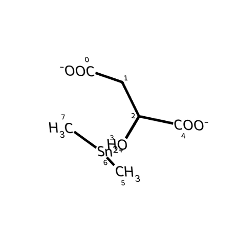 O=C([O-])CC(O)C(=O)[O-].[CH3][Sn+2][CH3]